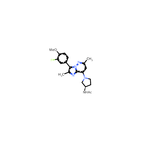 COc1ccc(-c2c(C)nc3c(N4CC[C@@H](NC(C)=O)C4)cc(C)nn23)cc1F